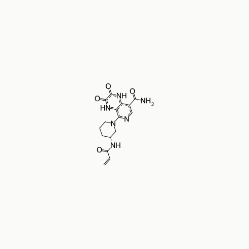 C=CC(=O)N[C@@H]1CCCN(c2ncc(C(N)=O)c3[nH]c(=O)c(=O)[nH]c23)C1